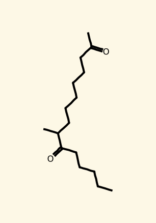 CCCCCC(=O)C(C)CCCCCCC(C)=O